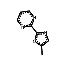 Cc1cnc(-c2ncccn2)o1